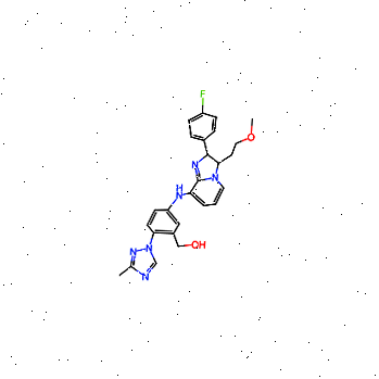 COCCC1C(c2ccc(F)cc2)N=C2C(Nc3ccc(-n4cnc(C)n4)c(CO)c3)=CC=CN21